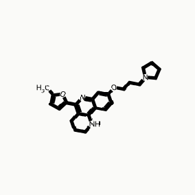 Cc1ccc(-c2nc3cc(OCCCN4CCCC4)ccc3c3c2CCCN3)o1